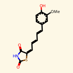 COc1cc(C=CC=CC=C2SC(=O)NC2=O)ccc1O